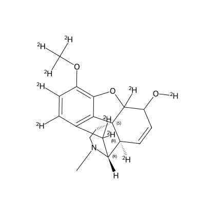 [2H]OC1C=C[C@@]2([2H])[C@@H]3N(C)CC[C@@]24c2c(c(OC([2H])([2H])[2H])c([2H])c([2H])c2C3([2H])[2H])OC14[2H]